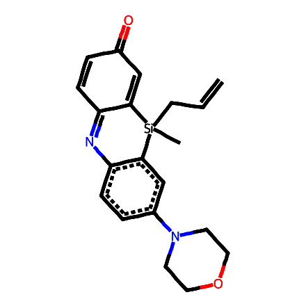 C=CC[Si]1(C)C2=CC(=O)C=CC2=Nc2ccc(N3CCOCC3)cc21